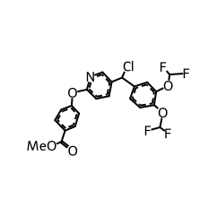 COC(=O)c1ccc(Oc2ccc(C(Cl)c3ccc(OC(F)F)c(OC(F)F)c3)cn2)cc1